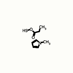 CCC(=O)OS.Cn1cccc1